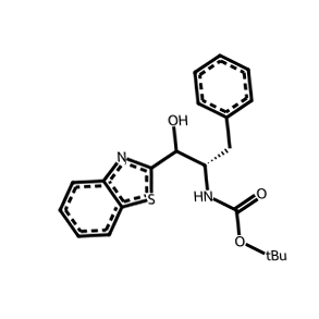 CC(C)(C)OC(=O)N[C@@H](Cc1ccccc1)C(O)c1nc2ccccc2s1